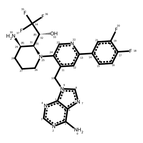 Nc1ncnc2c1ncn2Cc1cc(-c2ccc(F)c(F)c2)ncc1N1CCC[C@@H](N)[C@H]1[C@@H](O)C(F)(F)F